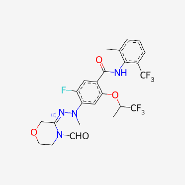 Cc1cccc(C(F)(F)F)c1NC(=O)c1cc(F)c(N(C)/N=C2/COCCN2C=O)cc1OC(C)C(F)(F)F